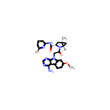 COc1ccc2c3c(N)ncnc3n(CC(=O)N3[C@H](C(=O)Nc4cccc(Br)n4)C[C@@]4(C)C[C@@H]34)c2c1